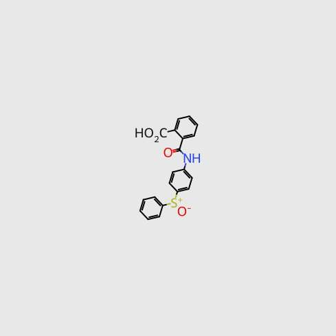 O=C(O)c1ccccc1C(=O)Nc1ccc([S+]([O-])c2ccccc2)cc1